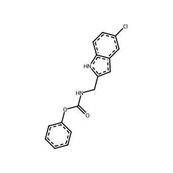 O=C(NCc1cc2cc(Cl)ccc2[nH]1)Oc1ccccc1